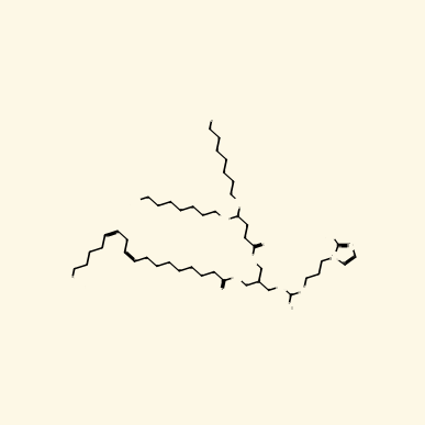 CCCCC/C=C\C/C=C\CCCCCCCC(=O)OCC(COC(=O)CCC(OCCCCCCCC)OCCCCCCCC)COC(O)OCCCn1ccnc1C